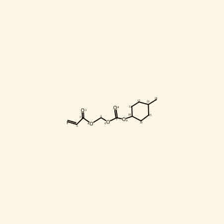 C=CC(=O)OCOC(=O)OC1CCC(C)CC1